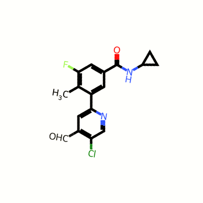 Cc1c(F)cc(C(=O)NC2CC2)cc1-c1cc(C=O)c(Cl)cn1